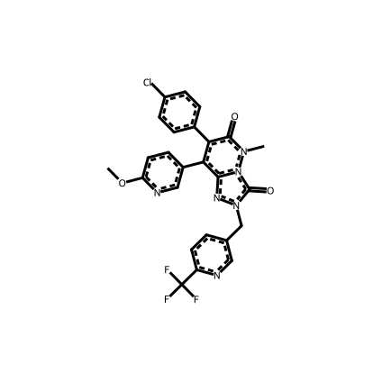 COc1ccc(-c2c(-c3ccc(Cl)cc3)c(=O)n(C)n3c(=O)n(Cc4ccc(C(F)(F)F)nc4)nc23)cn1